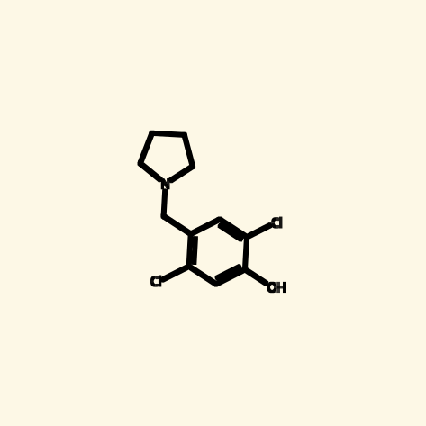 Oc1cc(Cl)c(CN2CCCC2)cc1Cl